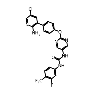 Nc1ncc(Cl)cc1-c1ccc(Oc2ncc(NC(=O)Nc3ccc(C(F)(F)F)c(F)c3)cn2)cc1